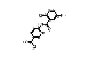 O=C(Cl)c1ccc(NC(=O)c2cc(F)ccc2Cl)nc1